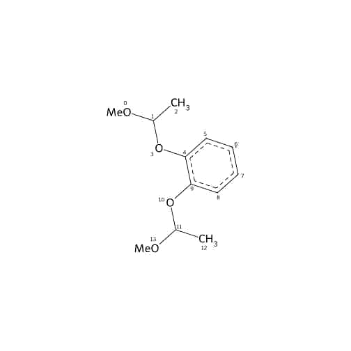 COC(C)Oc1c[c]ccc1OC(C)OC